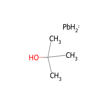 CC(C)(C)O.[PbH2]